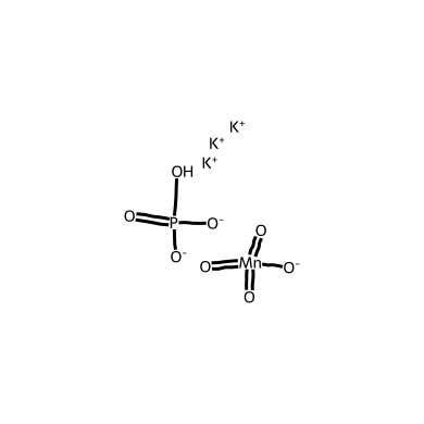 O=P([O-])([O-])O.[K+].[K+].[K+].[O]=[Mn](=[O])(=[O])[O-]